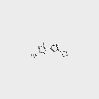 Cc1nc(N)sc1-c1cnn(C2CCC2)c1